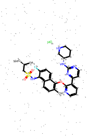 CO[C@@H](C)CS(=O)(=O)Nc1c(F)ccc2c(Oc3ncccc3-c3ccnc(N[C@H]4CCCNC4)n3)c(C)ccc12.Cl